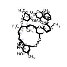 CO[C@H]1C[C@H](O[C@H]2[C@H](C)O[C@@H](O[C@@H]3/C(C)=C/C[C@@H]4CC(C[C@]5(C=C[C@H](C)[C@@H](C6CCCCC6)O5)O4)OCOCC4C=C(C)[C@@H](O)[C@H]5OC/C(=C\C=C\[C@@H]3C)[C@@]45O)C[C@@H]2OC)O[C@@H](C)C1O